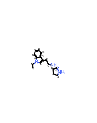 C1CCNC1.CCn1cc(CCN)c2ccccc21